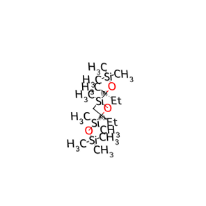 CC[C@@]1([Si](C)(C)O[Si](C)(C)C)C[Si](C)([C@](C)(CC)O[Si](C)(C)C)O1